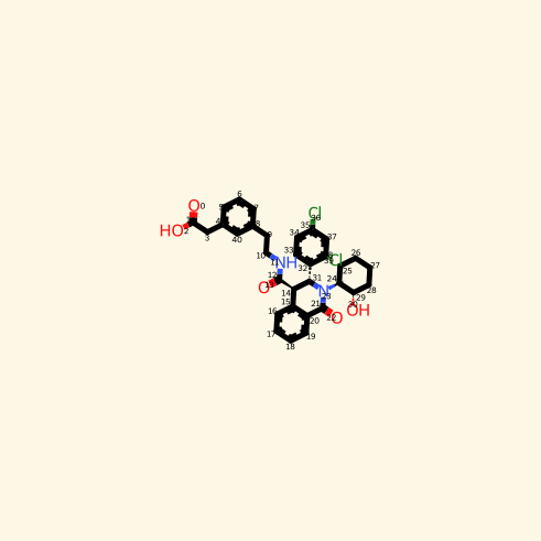 O=C(O)Cc1cccc(CCNC(=O)[C@@H]2c3ccccc3C(=O)N([C@H]3CCCC[C@@H]3O)[C@H]2c2ccc(Cl)cc2Cl)c1